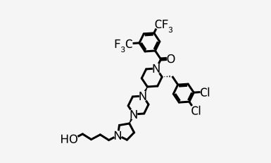 O=C(c1cc(C(F)(F)F)cc(C(F)(F)F)c1)N1CC[C@H](N2CCN([C@H]3CCN(CCCCO)C3)CC2)C[C@H]1Cc1ccc(Cl)c(Cl)c1